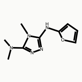 CN(C)c1nnc(Nc2ccco2)n1C